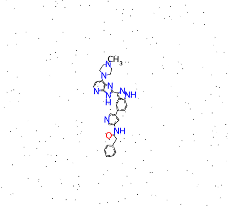 CN1CCN(c2ccnc3[nH]c(-c4n[nH]c5ccc(-c6cncc(NC(=O)Cc7ccccc7)c6)cc45)nc23)CC1